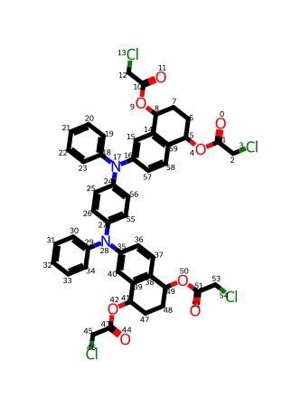 O=C(CCl)OC1CCC(OC(=O)CCl)c2cc(N(c3ccccc3)c3ccc(N(c4ccccc4)c4ccc5c(c4)C(OC(=O)CCl)CCC5OC(=O)CCl)cc3)ccc21